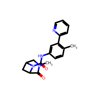 Cc1ccc(NC(=O)N2C3CC2C(=O)N(C)C3)cc1-c1ccccn1